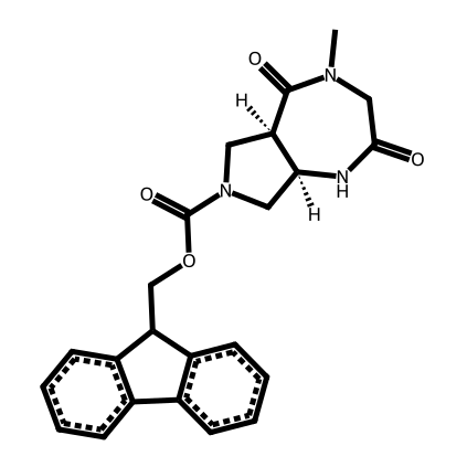 CN1CC(=O)N[C@H]2CN(C(=O)OCC3c4ccccc4-c4ccccc43)C[C@H]2C1=O